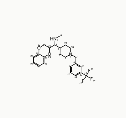 CNC(C1CCN(Cc2cccc(C(F)(F)F)c2)CC1)C1COc2ccccc2O1